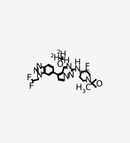 [2H]C([2H])([2H])Oc1nc(N[C@H]2CCN(C3(C)COC3)C[C@H]2F)nn2ccc(-c3ccc4nnn(CC(F)F)c4c3)c12